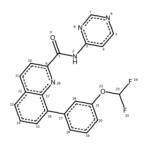 O=C(Nc1ccncn1)c1ccc2cccc(-c3cccc(OC(F)F)c3)c2n1